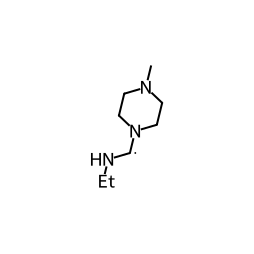 CCN[CH]N1CCN(C)CC1